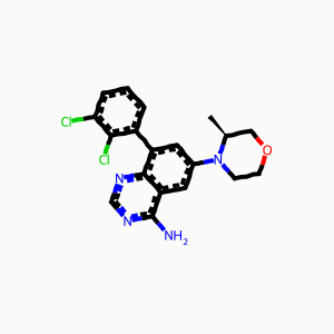 C[C@H]1COCCN1c1cc(-c2cccc(Cl)c2Cl)c2ncnc(N)c2c1